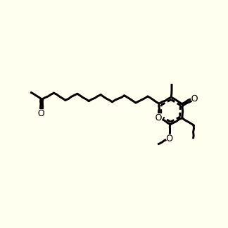 CCc1c(OC)oc(CCCCCCCCCC(C)=O)c(C)c1=O